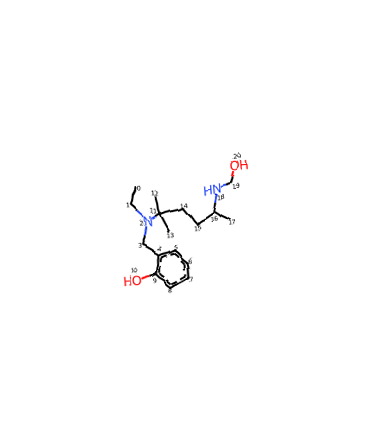 CCN(Cc1ccccc1O)C(C)(C)CCC(C)NCO